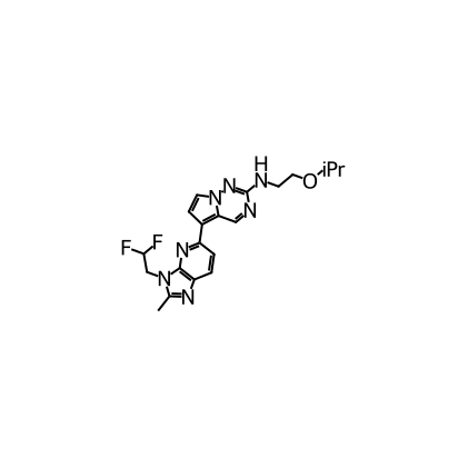 Cc1nc2ccc(-c3ccn4nc(NCCOC(C)C)ncc34)nc2n1CC(F)F